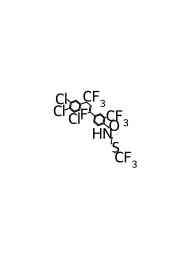 O=C(NCCSCC(F)(F)F)c1ccc(C(F)=CC(c2cc(Cl)c(Cl)c(Cl)c2)C(F)(F)F)cc1C(F)(F)F